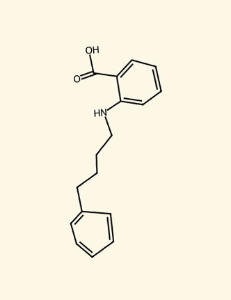 O=C(O)c1ccccc1NCCCCc1ccccc1